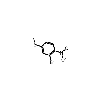 CSc1ccc([N+](=O)[O-])c(Br)c1